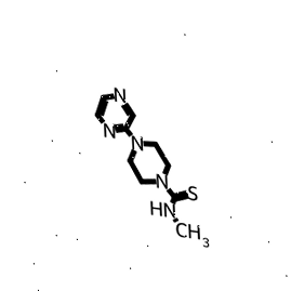 CNC(=S)N1CCN(c2cnccn2)CC1